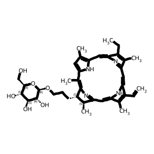 C=Cc1c(C)c2cc3nc(c(C)c4cc(C)c(cc5nc(cc1[nH]2)C(C)=C5CC)[nH]4)[C@@H](CCCO[C@@H]1O[C@H](CO)[C@@H](O)[C@H](O)[C@H]1O)[C@@H]3C